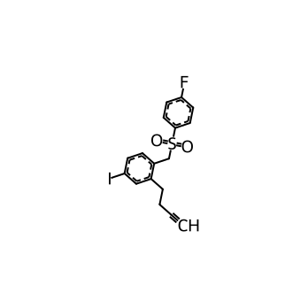 C#CCCc1cc(I)ccc1CS(=O)(=O)c1ccc(F)cc1